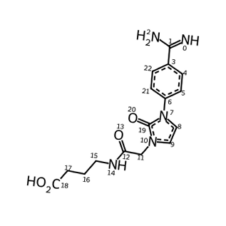 N=C(N)c1ccc(-n2ccn(CC(=O)NCCCC(=O)O)c2=O)cc1